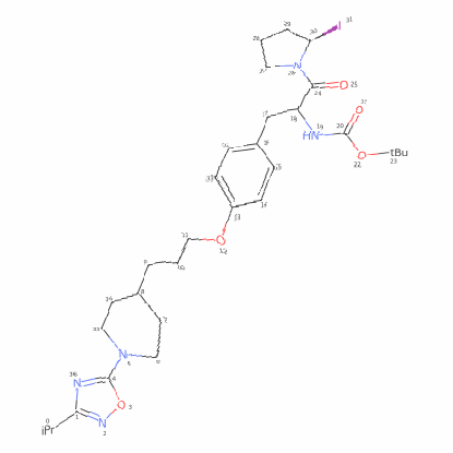 CC(C)c1noc(N2CCC(CCCOc3ccc(CC(NC(=O)OC(C)(C)C)C(=O)N4CCC[C@H]4I)cc3)CC2)n1